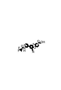 N#Cc1cc(-c2ccnc(NC(=O)[C@H]3CC3(F)F)c2)ccc1O[C@H]1CCN(C(=O)CO)C[C@H]1F